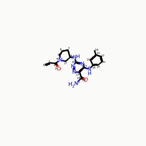 C=CC(=O)N1CCCC(Nc2nnc(C(N)=O)c(Nc3cccc(C)c3)n2)C1